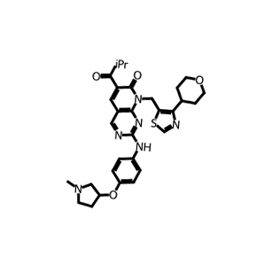 CC(C)C(=O)c1cc2cnc(Nc3ccc(OC4CCN(C)C4)cc3)nc2n(Cc2scnc2C2CCOCC2)c1=O